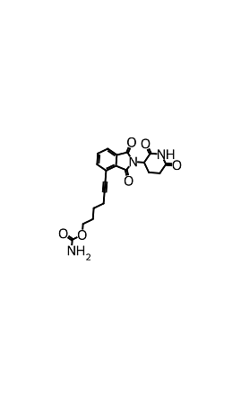 NC(=O)OCCCCC#Cc1cccc2c1C(=O)N(C1CCC(=O)NC1=O)C2=O